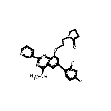 CNc1nc(-c2cccnc2)nc2c(OCCN3CCCC3=O)cc(-c3ccc(F)cc3F)cc12